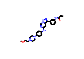 C=CC(=O)Nc1cccc(-c2nnn3cnc(Nc4ccc(N5CCN(CCOC)CC5)cc4)cc23)c1